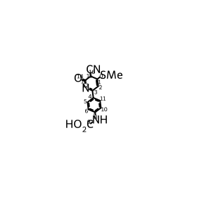 CSC1=CC(c2ccc(NC(=O)O)cc2)=NC(=O)C1C#N